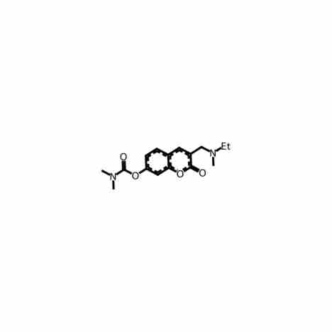 CCN(C)Cc1cc2ccc(OC(=O)N(C)C)cc2oc1=O